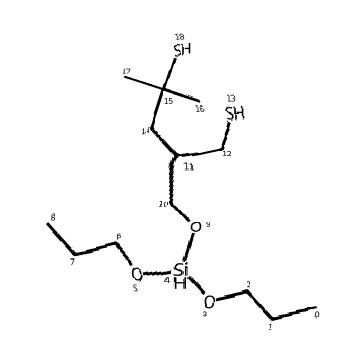 CCCO[SiH](OCCC)OCC(CS)CC(C)(C)S